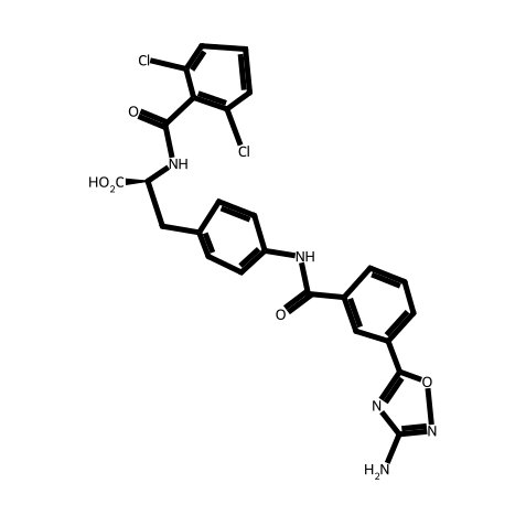 Nc1noc(-c2cccc(C(=O)Nc3ccc(C[C@H](NC(=O)c4c(Cl)cccc4Cl)C(=O)O)cc3)c2)n1